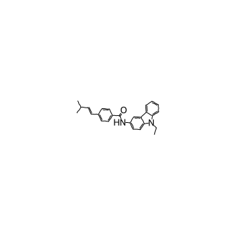 CCn1c2ccccc2c2cc(NC(=O)c3ccc(C=CC(C)C)cc3)ccc21